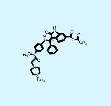 CC(=O)OC(=O)c1ccc2c(c1)NC(=O)/C2=C(\Nc1ccc(N(C)C(=O)CN2CCN(C)CC2)cc1)c1ccccc1